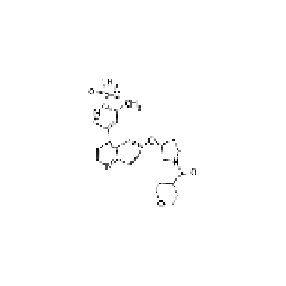 Cc1cc(-c2ccnc3ccc(O[C@H]4CCN(C(=O)C5CCOCC5)C4)cc23)cnc1S(C)(=O)=O